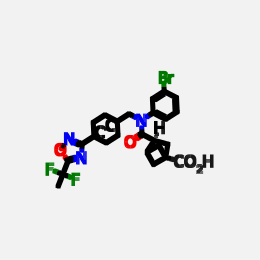 CC(F)(F)c1nc(C23CCC(CN(C(=O)[C@H]4CC5(C(=O)O)CC4C5)c4cccc(Br)c4)(CC2)CC3)no1